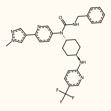 Cn1cc(-c2ccc(N(C(=O)NCc3ccccc3)[C@H]3CC[C@H](Nc4ccc(C(F)(F)F)cn4)CC3)cn2)cn1